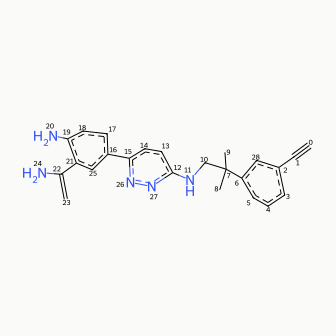 C#Cc1cccc(C(C)(C)CNc2ccc(-c3ccc(N)c(C(=C)N)c3)nn2)c1